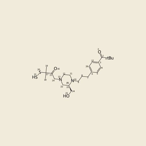 CC(C)(C)C(=O)c1ccc(CCCN2CCN(CC(=O)C(C)(C)SS)C[C@@H]2CO)cc1